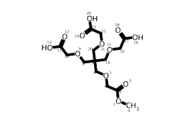 COC(=O)COCC(COCC(=O)O)(COCC(=O)O)COCC(=O)O